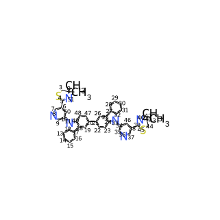 CC1(C)CSC(c2cncc(-n3c4ccccc4c4cc(-c5ccc6c(c5)c5ccccc5n6-c5cncc(C6=NC(C)(C)CS6)c5)ccc43)c2)=N1